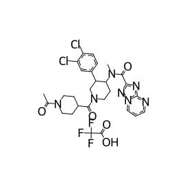 CC(=O)N1CCC(C(=O)N2CCC(N(C)C(=O)c3nc4ncccn4n3)C(c3ccc(Cl)c(Cl)c3)C2)CC1.O=C(O)C(F)(F)F